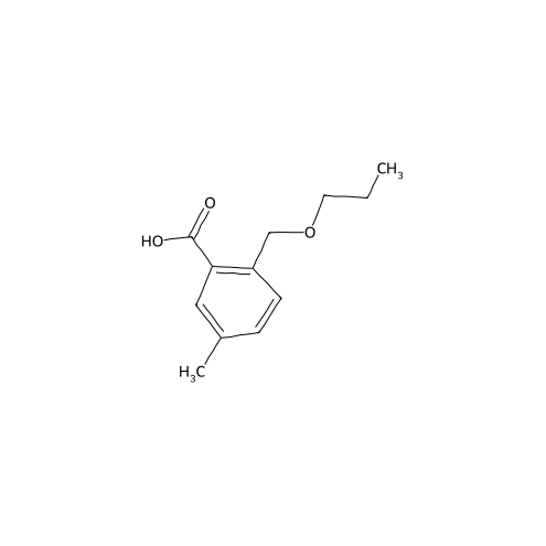 CCCOCc1ccc(C)cc1C(=O)O